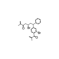 C=C(C)C(=O)CC(Br)CC(c1ccccc1)c1ccc(C(=O)C(=C)C)c(Br)c1